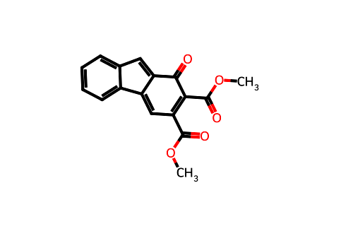 COC(=O)C1=C(C(=O)OC)C(=O)C2=Cc3ccccc3C2=C1